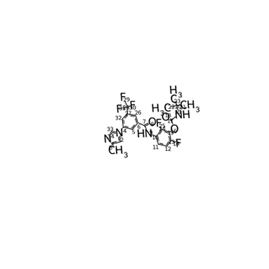 Cc1cn(-c2cc(C(=O)Nc3ccc(F)c(OC(=O)NC(C)(C)C)c3F)cc(C(F)(F)F)c2)cn1